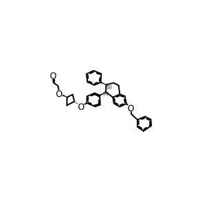 O=CCO[C@H]1C[C@H](Oc2ccc([C@@H]3c4ccc(OCc5ccccc5)cc4CC[C@@H]3c3ccccc3)cc2)C1